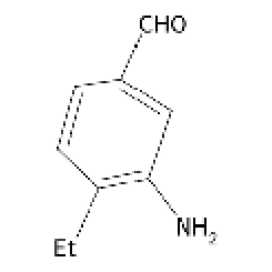 CCc1ccc(C=O)cc1N